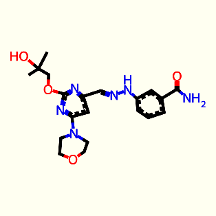 CC(C)(O)COc1nc(C=NNc2cccc(C(N)=O)c2)cc(N2CCOCC2)n1